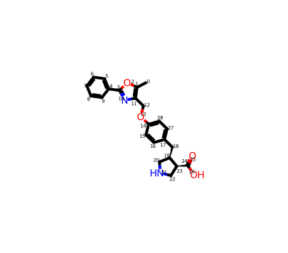 Cc1oc(-c2ccccc2)nc1COc1ccc(C[C@@H]2CNC[C@@H]2C(=O)O)cc1